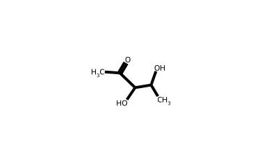 CC(=O)C(O)C(C)O